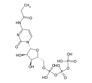 CCC(=O)Nc1ccn([C@@H]2O[C@H](COP(=O)(O)OP(=O)(O)OP(=O)(O)O)[C@@H](O)[C@H]2O)c(=O)n1